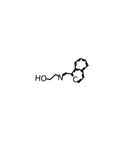 OCC/N=C/c1cccc2ccccc12